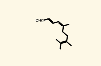 CC(=C/C=C/C=O)CCC(C)=C(C)C